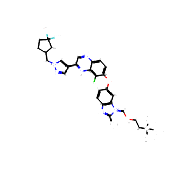 Cc1nc2ccc(Oc3ccc4ncc(-c5cnn(CC6CCC(F)(F)C6)c5)nc4c3Cl)cc2n1COCC[Si](C)(C)C